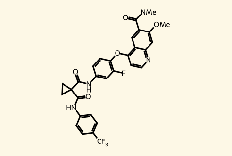 CNC(=O)c1cc2c(Oc3ccc(NC(=O)C4(C(=O)Nc5ccc(C(F)(F)F)cc5)CC4)cc3F)ccnc2cc1OC